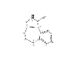 ClC1NCC2CCNc3ccccc3C21